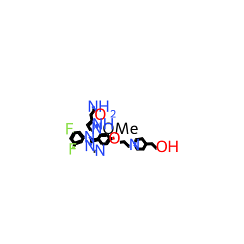 COc1cc2c(N(c3cc(F)cc(F)c3)c3cc(CC(N)=O)[nH]n3)ncnc2cc1OCCCN1CCC(CCO)CC1